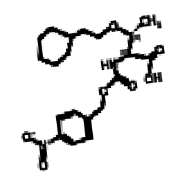 C[C@@H](OCCC1CCCCC1)[C@H](NC(=O)OCc1ccc([N+](=O)[O-])cc1)C(=O)O